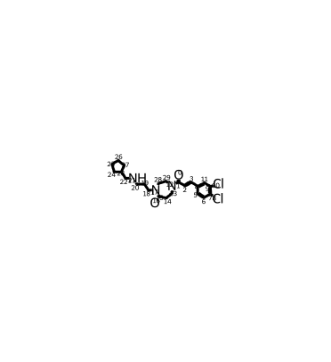 O=C(/C=C/c1ccc(Cl)c(Cl)c1)N1CCC(=O)N(CCCNCC2CCCC2)CC1